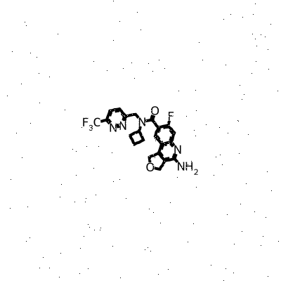 Nc1nc2cc(F)c(C(=O)N(Cc3ccc(C(F)(F)F)nn3)C3CCC3)cc2c2c1COC2